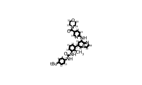 Cc1c(NC(=O)Nc2ccc(C(C)(C)C)cc2)cccc1-c1cc(Nc2ccc(C(=O)N3CCOCC3)cn2)c2nccn2c1